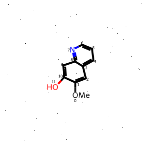 COc1cc2cccnc2cc1O